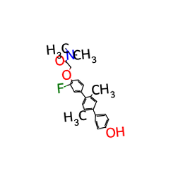 Cc1cc(-c2ccc(OCC(=O)N(C)C)c(F)c2)c(C)cc1-c1ccc(O)cc1